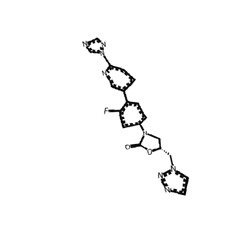 O=C1O[C@@H](Cn2ccnn2)CN1c1ccc(-c2ccc(-n3cncn3)nc2)c(F)c1